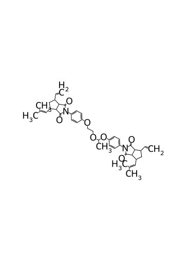 C=CC1CC(C=C(C)C)C2C(=O)N(c3ccc(OCCOC(C)Oc4ccc(N5C(=O)C6C(C=C)CC(C=C(C)C)C6C5=O)cc4)cc3)C(=O)C12